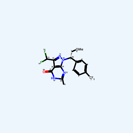 COC[C@H](c1ccc(C(F)(F)F)cc1)n1nc(C(F)F)c2c(=O)[nH]c(C)nc21